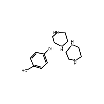 C1CNCCN1.C1CNCCN1.Oc1ccc(O)cc1